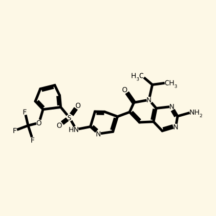 CC(C)n1c(=O)c(-c2ccc(NS(=O)(=O)c3ccccc3OC(F)(F)F)nc2)cc2cnc(N)nc21